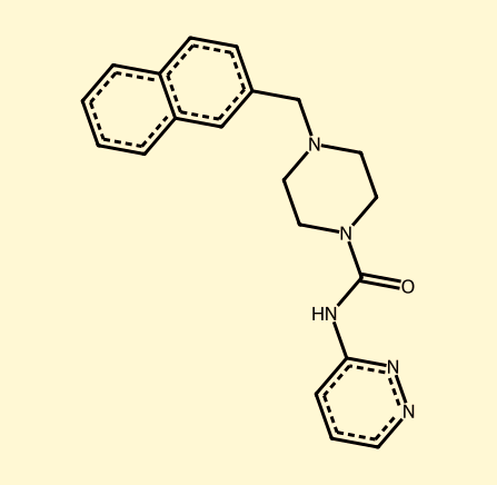 O=C(Nc1cccnn1)N1CCN(Cc2ccc3ccccc3c2)CC1